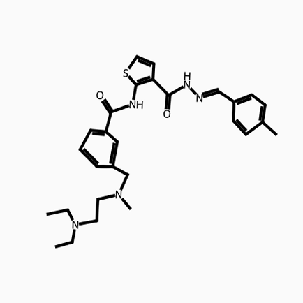 CCN(CC)CCN(C)Cc1cccc(C(=O)Nc2sccc2C(=O)NN=Cc2ccc(C)cc2)c1